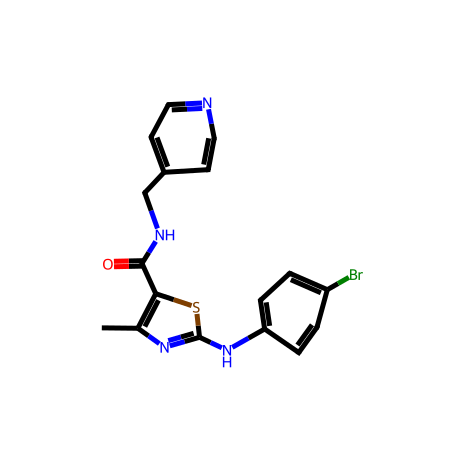 Cc1nc(Nc2ccc(Br)cc2)sc1C(=O)NCc1ccncc1